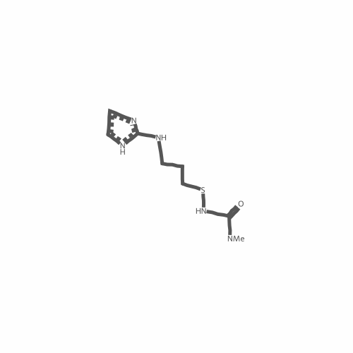 CNC(=O)NSCCCNc1ncc[nH]1